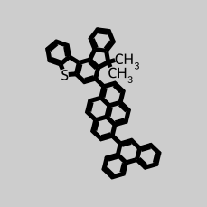 CC1(C)c2ccccc2-c2c1c(-c1ccc3ccc4c(-c5cc6ccccc6c6ccccc56)ccc5ccc1c3c54)cc1sc3ccccc3c21